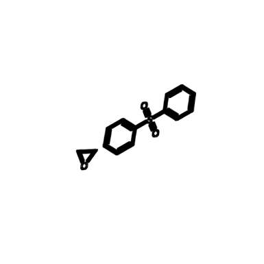 C1CO1.O=S(=O)(c1ccccc1)c1ccccc1